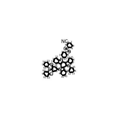 N#Cc1cccc(S(=O)(=O)c2ccc(-n3c4ccccc4c4c3c3c5ccccc5n(-c5ccccc5)c3c3c5ccccc5n(-c5cc6c7c(c5)Oc5ccccc5B7c5ccccc5O6)c34)cc2)c1